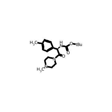 Cc1ccc([C@@H](NC(=O)OC(C)(C)C)C(=O)N2CCN(C)CC2)cc1